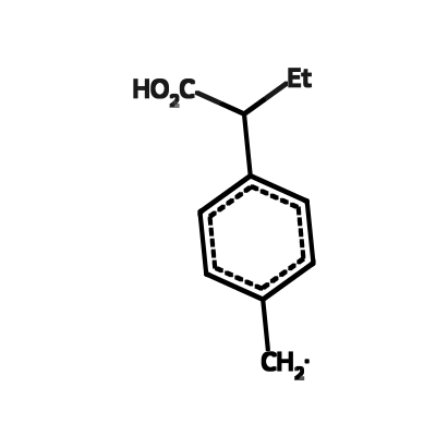 [CH2]c1ccc(C(CC)C(=O)O)cc1